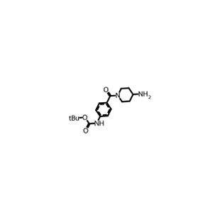 CC(C)(C)OC(=O)Nc1ccc(C(=O)N2CCC(N)CC2)cc1